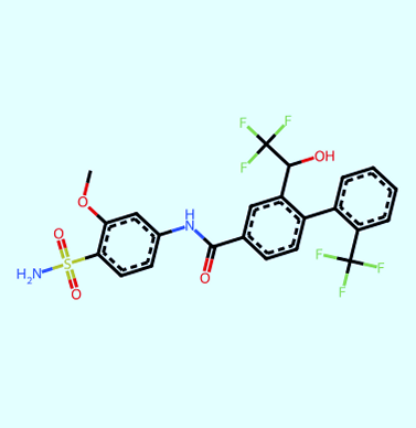 COc1cc(NC(=O)c2ccc(-c3ccccc3C(F)(F)F)c(C(O)C(F)(F)F)c2)ccc1S(N)(=O)=O